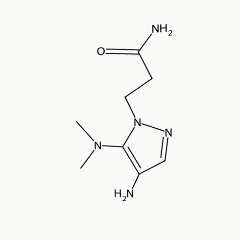 CN(C)c1c(N)cnn1CCC(N)=O